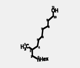 CCCCCCCC(C)CCCCCCCO